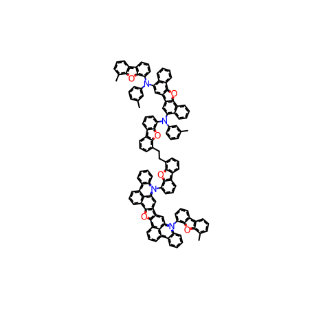 Cc1cccc(N(c2cc3c4cc(N(c5cccc(C)c5)c5cccc6c5oc5c(CCc7cccc8c7oc7c(-n9c%10ccccc%10c%10cccc%11c%12oc%13c(cc%14c%15c(cccc%13%15)c%13ccccc%13n%14-c%13cccc%14c%13oc%13c(C)cccc%13%14)c%12cc9c%10%11)cccc78)cccc56)c5ccccc5c4oc3c3ccccc23)c2cccc3c2oc2c(C)cccc23)c1